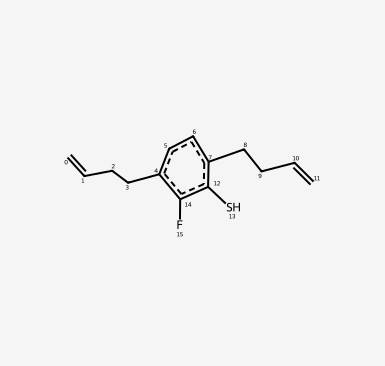 C=CCCc1ccc(CCC=C)c(S)c1F